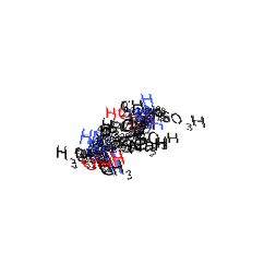 CC(O)CN(CC(C)O)c1nc(Nc2ccc(S(=O)(=O)O)cc2)nc(Nc2ccc(C=Cc3ccc(Nc4nc(Nc5ccc(S(=O)(=O)O)cc5)nc(N(CC(C)O)CC(C)O)n4)cc3S(=O)(=O)O)c(S(=O)(=O)O)c2)n1.[NaH]